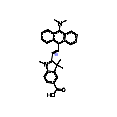 CN(C)c1c2ccccc2c(/C=C/C2=[N+](C)c3ccc(C(=O)O)cc3C2(C)C)c2ccccc12